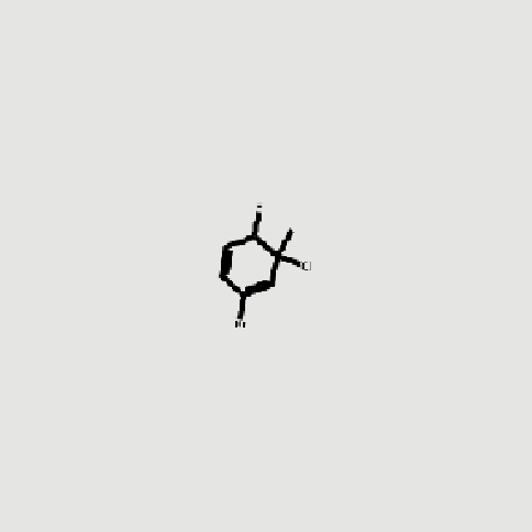 CC1(Cl)C=C(Br)C=CC1F